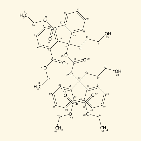 CCOC(=O)c1ccccc1C(CCCO)(OC(=O)OC(CCCO)(c1ccccc1C(=O)OCC)c1ccccc1C(=O)OCC)c1ccccc1C(=O)OCC